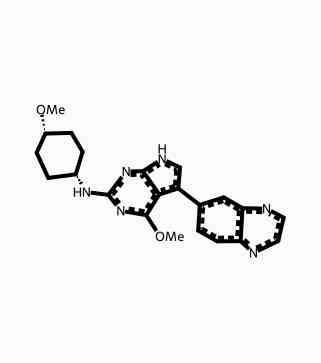 COc1nc(N[C@H]2CC[C@@H](OC)CC2)nc2[nH]cc(-c3ccc4nccnc4c3)c12